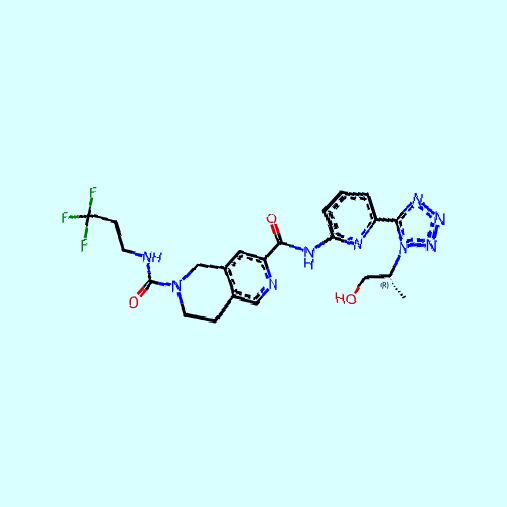 C[C@H](CO)n1nnnc1-c1cccc(NC(=O)c2cc3c(cn2)CCN(C(=O)NCCC(F)(F)F)C3)n1